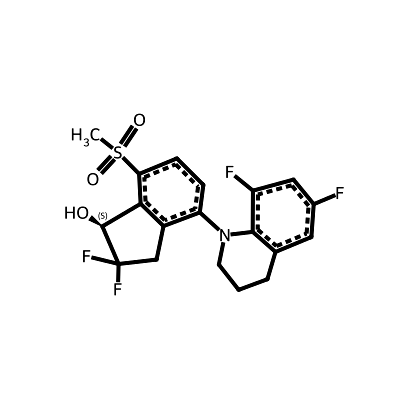 CS(=O)(=O)c1ccc(N2CCCc3cc(F)cc(F)c32)c2c1[C@H](O)C(F)(F)C2